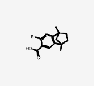 CC12CCC(C)(C1)c1cc(C(=O)O)c(Br)cc12